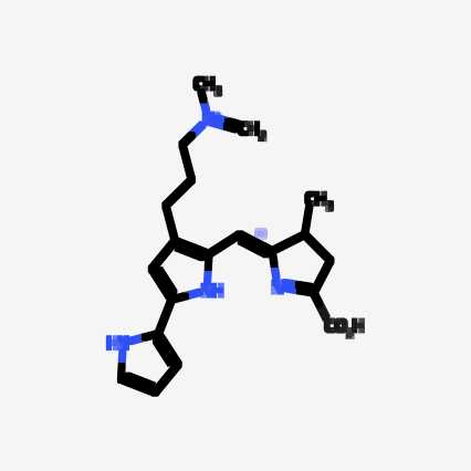 C=[N+](C)CCCc1cc(-c2ccc[nH]2)[nH]c1/C=C1\N=C(C(=O)O)CC1C